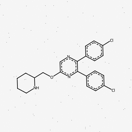 Clc1ccc(-c2ncc(OCC3CCCCN3)nc2-c2ccc(Cl)cc2)cc1